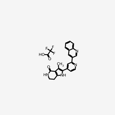 Cc1c(-c2ccnc(-c3cnc4ccccc4c3)c2)[nH]c2c1C(=O)NCC2.O=C(O)C(F)(F)F